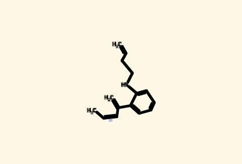 C=CCCNc1ccccc1C(=C)/C=C\C